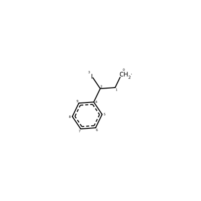 [CH2]CC(I)c1ccccc1